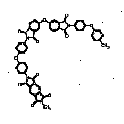 Cc1ccc(Oc2ccc(N3C(=O)c4ccc(Oc5ccc6c(c5)C(=O)N(c5ccc(Oc7ccc(-n8c(=O)c9cc%10c(=O)n(C)c(=O)c%10cc9c8=O)cc7)cc5)C6=O)cc4C3=O)cc2)cc1